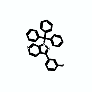 Fc1cccc(-c2nn(C(c3ccccc3)(c3ccccc3)c3ccccc3)c3cnccc23)c1